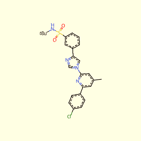 Cc1cc(-c2ccc(Cl)cc2)nc(-n2cnc(-c3cccc(S(=O)(=O)NC(C)(C)C)c3)c2)c1